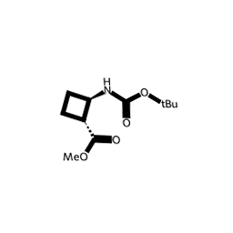 COC(=O)[C@@H]1CC[C@H]1NC(=O)OC(C)(C)C